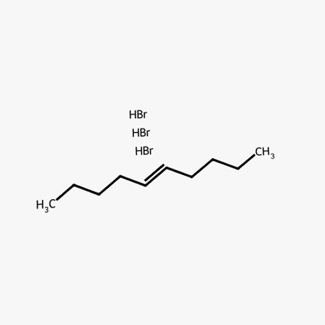 Br.Br.Br.CCCCC=CCCCC